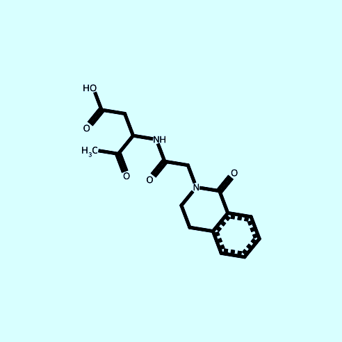 CC(=O)C(CC(=O)O)NC(=O)CN1CCc2ccccc2C1=O